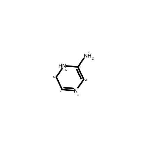 NC1=CN=CCN1